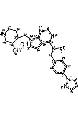 CCN(Cc1ccc(-n2cccn2)cc1)c1ncnc2c1ccn2C[C@]1(O)CCNC[C@H]1O